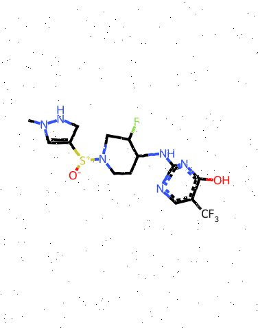 CN1C=C([S+]([O-])N2CCC(Nc3ncc(C(F)(F)F)c(O)n3)C(F)C2)CN1